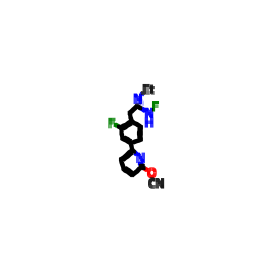 CC/N=C(/Cc1ccc(-c2cccc(OC#N)n2)cc1F)NF